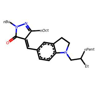 CCCCCCCCC1=NN(CCCC)C(=O)C1=Cc1ccc2c(c1)CCN2CC(CC)CCCCC